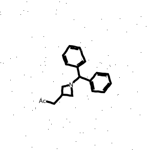 CC(=O)CC1CN(C(c2ccccc2)c2ccccc2)C1